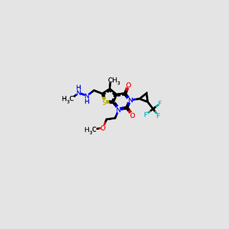 CNNCc1sc2c(c1C)c(=O)n(C1CC1C(F)(F)F)c(=O)n2CCOC